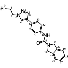 CC(C)CCn1cc(-c2ccc(NC(=O)N3Cc4ccccc4C3)cc2)nn1